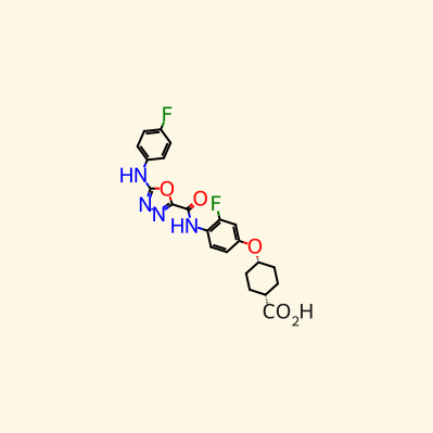 O=C(Nc1ccc(O[C@H]2CC[C@@H](C(=O)O)CC2)cc1F)c1nnc(Nc2ccc(F)cc2)o1